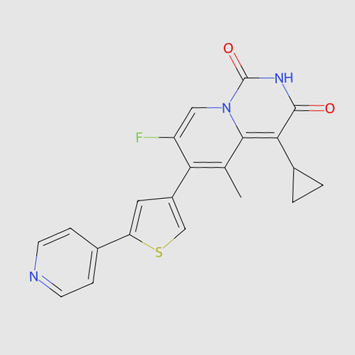 Cc1c(-c2csc(-c3ccncc3)c2)c(F)cn2c(=O)[nH]c(=O)c(C3CC3)c12